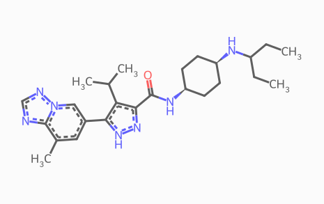 CCC(CC)N[C@H]1CC[C@@H](NC(=O)c2n[nH]c(-c3cc(C)c4ncnn4c3)c2C(C)C)CC1